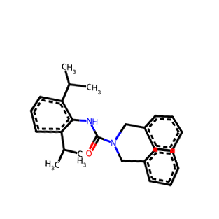 CC(C)c1cccc(C(C)C)c1NC(=O)N(Cc1ccccc1)Cc1ccccc1